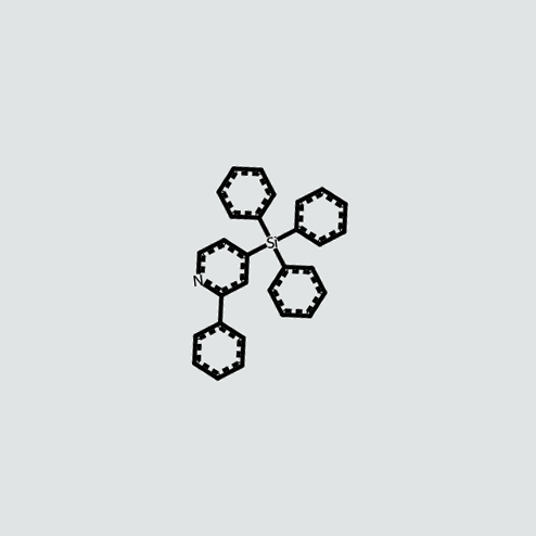 c1ccc(-c2cc([Si](c3ccccc3)(c3ccccc3)c3ccccc3)ccn2)cc1